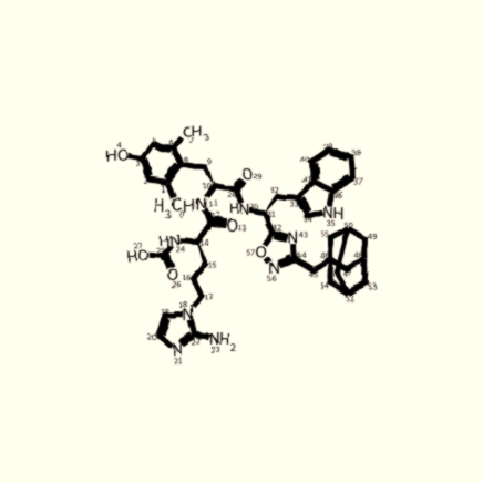 Cc1cc(O)cc(C)c1C[C@H](NC(=O)[C@@H](CCCn1ccnc1N)NC(=O)O)C(=O)N[C@@H](Cc1c[nH]c2ccccc12)c1nc(CC23CC4CC(CC(C4)C2)C3)no1